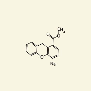 COC(=O)c1cccc2c1Cc1ccccc1O2.[Na]